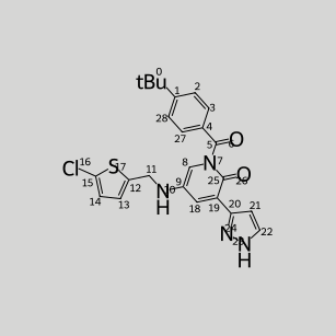 CC(C)(C)c1ccc(C(=O)n2cc(NCc3ccc(Cl)s3)cc(-c3cc[nH]n3)c2=O)cc1